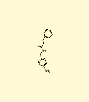 Nc1ccc(SNC(=O)CCc2ccccc2)cc1